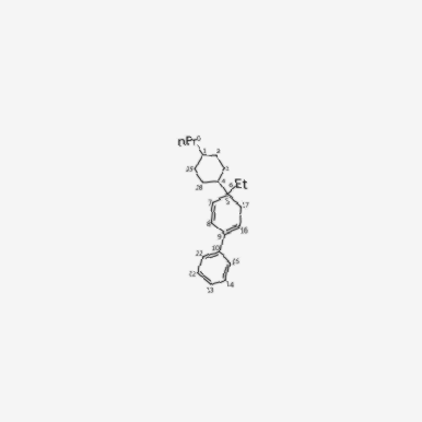 CCCC1CCC(C2(CC)C=CC(c3ccccc3)=CC2)CC1